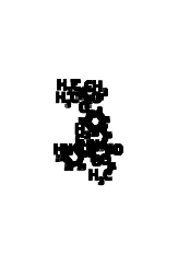 CCOC(=O)C(Cc1ccc(OC(=O)C(C)(C)C)cc1)NC(=O)C1=C(C)NC=CC1